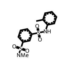 CNS(=O)(=O)c1cccc(S(=O)(=O)Nc2ccccc2C)c1